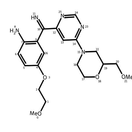 COCCOc1ccc(N)c(C(=N)c2cc(N3CCOC(COC)C3)ncn2)c1